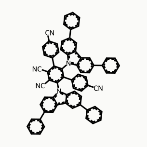 N#Cc1ccc(-c2c(C#N)c(C#N)c(-n3c4ccc(-c5ccccc5)cc4c4cc(-c5ccccc5)ccc43)c(-c3ccc(C#N)cc3)c2-n2c3ccc(-c4ccccc4)cc3c3cc(-c4ccccc4)ccc32)cc1